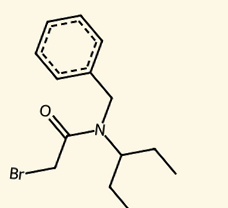 CCC(CC)N(Cc1ccccc1)C(=O)CBr